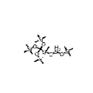 C[Si](C)(C)O[SiH2]O[Si](C)(C)C(O[Si](C)(C)C)(O[Si](C)(C)C)O[Si](C)(C)C